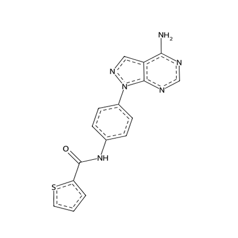 Nc1ncnc2c1cnn2-c1ccc(NC(=O)c2cccs2)cc1